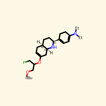 CCCCOCC(CF)OC1=CC[C@H]2CC[C@@H](C3=CC=C(N(CC)CC)CC3)N[C@H]2C1